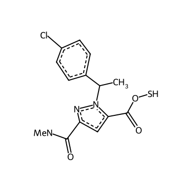 CNC(=O)c1cc(C(=O)OS)n(C(C)c2ccc(Cl)cc2)n1